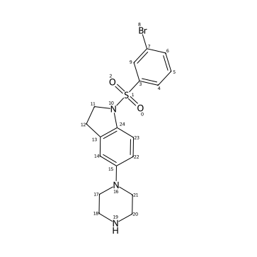 O=S(=O)(c1cccc(Br)c1)N1CCc2cc(N3CCNCC3)ccc21